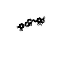 Cc1c(CCN2CCN3C[C@@H](c4ccc(F)c(C#N)c4)OC[C@@H]3C2)ccc2c1COC2=O